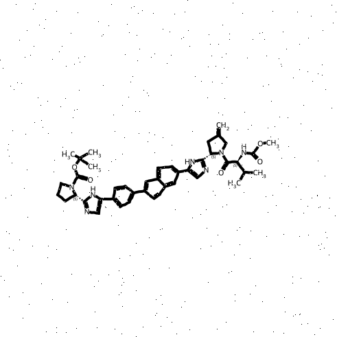 C=C1C[C@@H](c2ncc(-c3ccc4cc(-c5ccc(-c6cnc([C@@H]7CCCN7C(=O)OC(C)(C)C)[nH]6)cc5)ccc4c3)[nH]2)N(C(=O)[C@@H](NC(=O)OC)C(C)C)C1